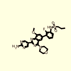 CCCS(=O)(=O)Nc1cccc(-c2cc(OC)c3nc(-c4cnc(N)nc4)nc(N4CCOCC4)c3c2)c1F